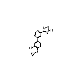 Clc1cc(-c2cc(-c3nn[nH]n3)ncn2)ccc1SC1CC1